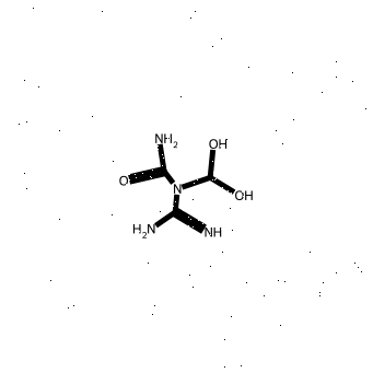 N=C(N)N(C(N)=O)C(O)O